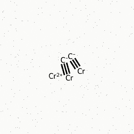 [C-]#[Cr].[C-]#[Cr].[Cr+2]